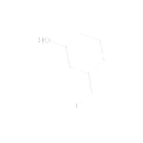 OC1CCCC(CI)C1